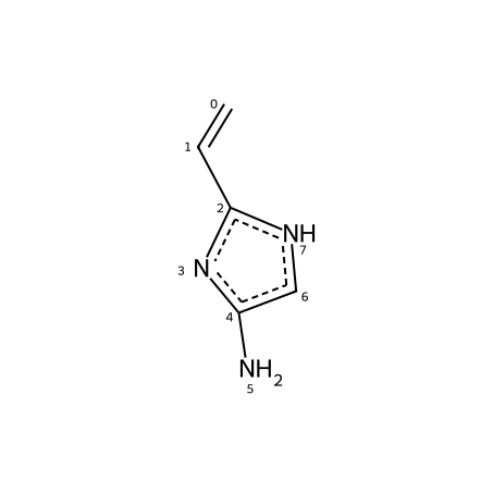 C=Cc1nc(N)c[nH]1